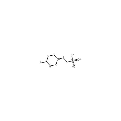 CC1CCN(CCS(=O)(=O)F)CC1